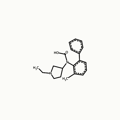 CCN1CCC(N(C(=O)O)c2c(C)cccc2-c2ccccc2)C1